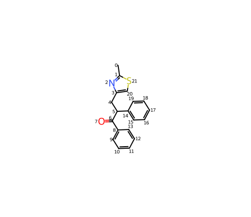 Cc1nc(CC(C(=O)c2ccccc2)c2ccccc2)cs1